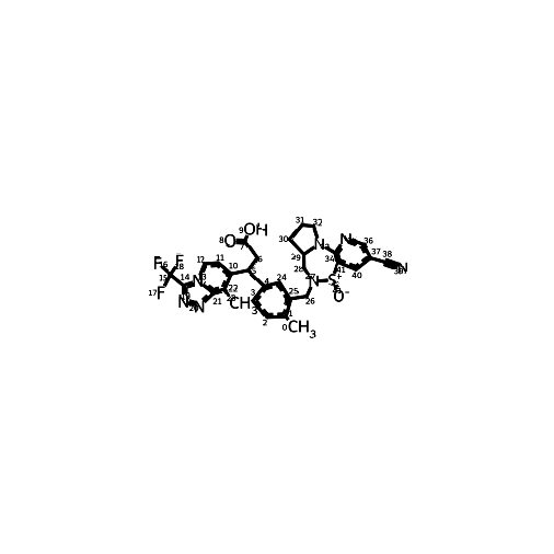 Cc1ccc(C(CC(=O)O)c2ccn3c(C(F)(F)F)nnc3c2C)cc1CN1CC2CCCN2c2ncc(C#N)cc2[S+]1[O-]